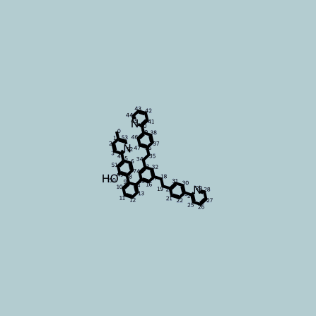 Cc1ccc(-c2ccc(-c3ccccc3-c3cc(CCc4ccc(-c5ccccn5)cc4)cc(CCc4ccc(-c5ccccn5)cc4)c3)c(O)c2)nc1